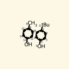 CC(C)(C)c1ccc(O)cc1.Cc1ccc(O)cc1